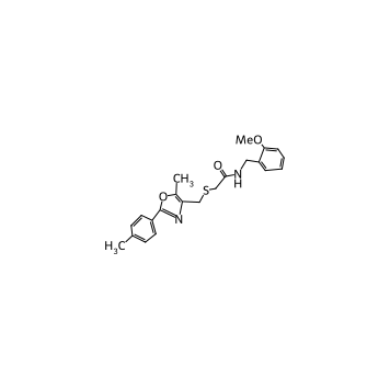 COc1ccccc1CNC(=O)CSCc1nc(-c2ccc(C)cc2)oc1C